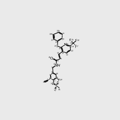 C#Cc1cc(CNC(=O)C=Cc2ccc(C(F)(F)F)nc2Sc2ccccc2)cc(F)c1NS(C)(=O)=O